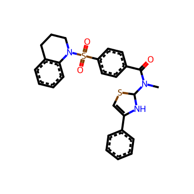 CN(C(=O)c1ccc(S(=O)(=O)N2CCCc3ccccc32)cc1)C1NC(c2ccccc2)=CS1